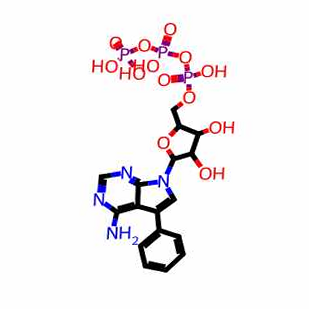 Nc1ncnc2c1c(-c1ccccc1)cn2C1OC(COP(=O)(O)OP(=O)(O)OP(=O)(O)O)C(O)C1O